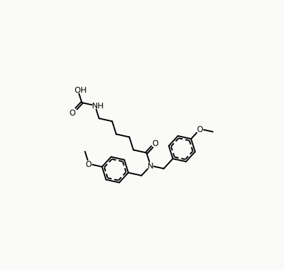 COc1ccc(CN(Cc2ccc(OC)cc2)C(=O)CCCCCNC(=O)O)cc1